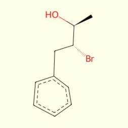 C[C@H](O)[C@H](Br)Cc1ccccc1